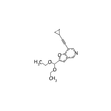 CCOC(OCC)c1cc2cncc(C#CC3CC3)c2o1